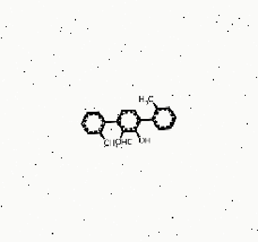 Cc1ccccc1-c1ccc(-c2ccccc2C)c(C=O)c1O